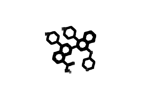 NC(=O)c1cccc2c(C3CCNCC3)cc(-c3cc(OC4CCOCC4)c4ccccc4c3C3CCNCC3)cc12